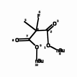 CCCCOC(=O)C(C)(F)C(=O)OCCCC